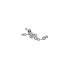 CN(C)c1ccc(CCOc2ccc(C(=O)N/C(=C/c3ccc(C4CC4)cc3)C(=O)NCCO)cc2)cc1